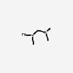 CCN(C)CN(C)C